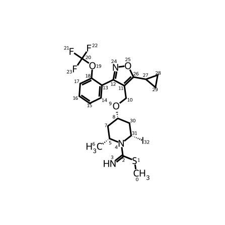 CSC(=N)N1[C@H](C)C[C@H](OCc2c(-c3ccccc3OC(F)(F)F)noc2C2CC2)C[C@@H]1I